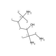 CC(CC(O)C(C)(N)CN)C(C)(C)N